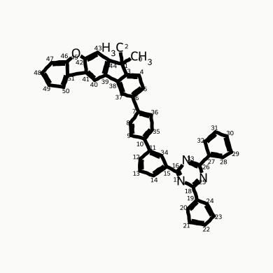 CC1(C)c2ccc(-c3ccc(-c4cccc(-c5nc(-c6ccccc6)nc(-c6ccccc6)n5)c4)cc3)cc2-c2cc3c(cc21)oc1ccccc13